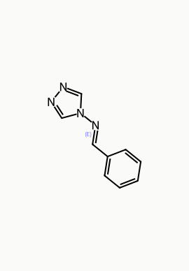 C(=N\n1cnnc1)/c1ccccc1